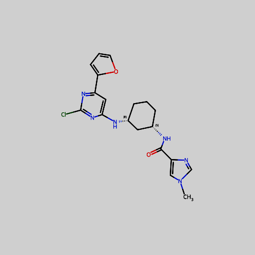 Cn1cnc(C(=O)N[C@H]2CCC[C@@H](Nc3cc(-c4ccco4)nc(Cl)n3)C2)c1